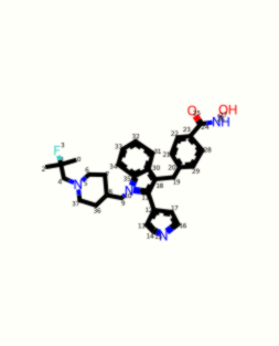 CC(C)(F)CN1CCC(Cn2c(-c3ccncc3)c(Cc3ccc(C(=O)NO)cc3)c3ccccc32)CC1